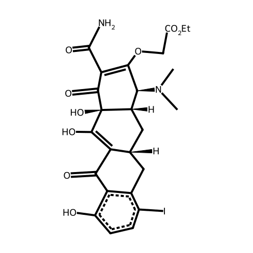 CCOC(=O)COC1=C(C(N)=O)C(=O)[C@@]2(O)C(O)=C3C(=O)c4c(O)ccc(I)c4C[C@H]3C[C@H]2[C@@H]1N(C)C